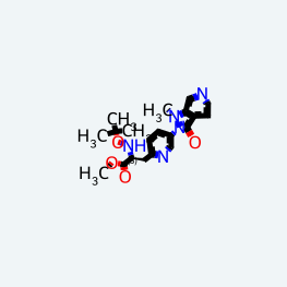 COC(=O)[C@H](Cc1ccc(-n2c(=O)c3ccncc3n2C)cn1)NOC(C)(C)C